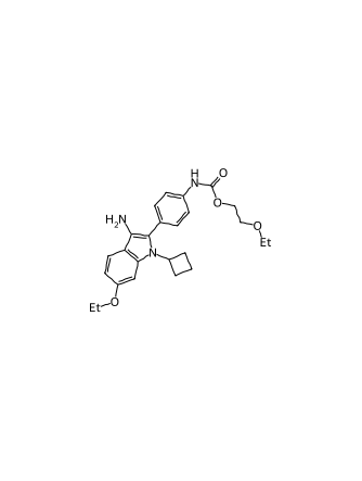 CCOCCOC(=O)Nc1ccc(-c2c(N)c3ccc(OCC)cc3n2C2CCC2)cc1